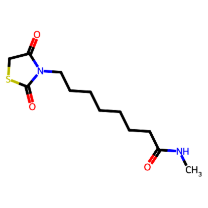 CNC(=O)CCCCCCCN1C(=O)CSC1=O